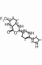 O=C1OC(C2CC=C(N3CCNC3)NN2)NC2CCC(C(F)(F)F)NC12